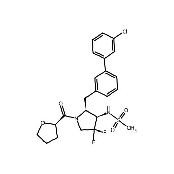 CS(=O)(=O)N[C@@H]1[C@H](Cc2cccc(-c3cccc(Cl)c3)c2)N(C(=O)[C@H]2CCCO2)CC1(F)F